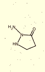 NN1NCCC1=O